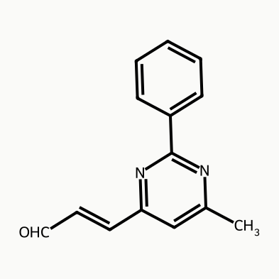 Cc1cc(C=CC=O)nc(-c2ccccc2)n1